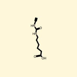 C#CNC(=O)NCCCCCC(=O)O